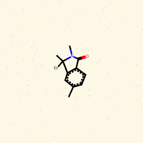 CCC1(C)c2cc(C)ccc2C(=O)N1C